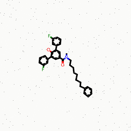 CN(CCCCCCCCc1ccccc1)C(=O)c1cc(-c2cccc(F)c2)c([O])c(-c2cccc(F)c2)c1